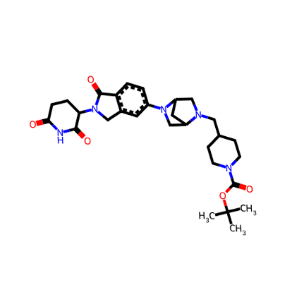 CC(C)(C)OC(=O)N1CCC(CN2CC3CC2CN3c2ccc3c(c2)CN(C2CCC(=O)NC2=O)C3=O)CC1